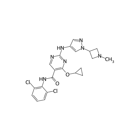 CN1CC(n2cc(Nc3ncc(C(=O)Nc4c(Cl)cccc4Cl)c(OC4CC4)n3)cn2)C1